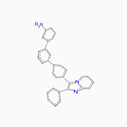 Nc1cccc(-c2cccc(-c3ccc(-c4c(-c5ccccc5)nc5ccccn45)cc3)c2)c1